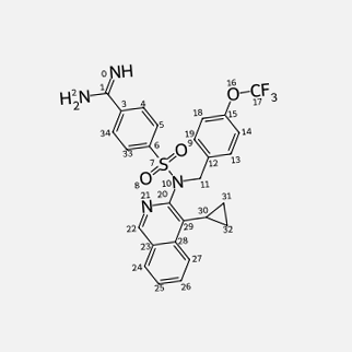 N=C(N)c1ccc(S(=O)(=O)N(Cc2ccc(OC(F)(F)F)cc2)c2ncc3ccccc3c2C2CC2)cc1